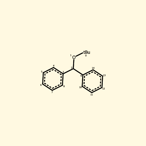 CC(C)(C)OC(c1ccccc1)c1ccccc1